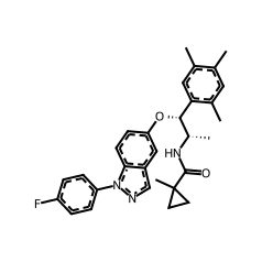 Cc1cc(C)c([C@@H](Oc2ccc3c(cnn3-c3ccc(F)cc3)c2)[C@H](C)NC(=O)C2(C)CC2)cc1C